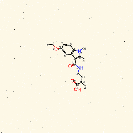 CCOc1ccc2c(c1)c(C(=O)NCC=C(C)C(=O)O)c(C)n2C